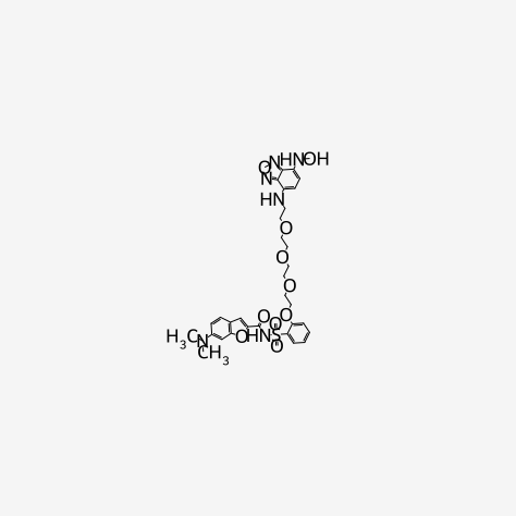 CN(C)c1ccc2cc(C(=O)NS(=O)(=O)c3ccccc3OCCOCCOCCOCCNc3ccc(NO)c4nonc34)oc2c1